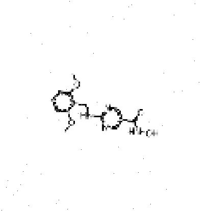 COc1cccc(OC)c1CNc1ncc(C(=O)NO)cn1